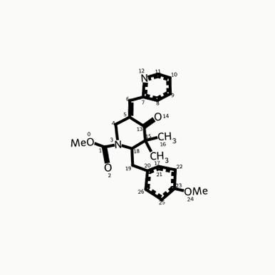 COC(=O)N1C/C(=C/c2ccccn2)C(=O)C(C)(C)C1Cc1ccc(OC)cc1